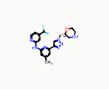 Cc1cc(Nc2cc(C(F)F)ccn2)nc(-c2cn(C[C@H]3CNCCO3)nn2)c1